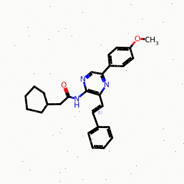 COc1ccc(-c2cnc(NC(=O)CC3CCCCC3)c(/C=C/c3ccccc3)n2)cc1